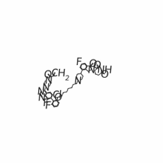 C=CC(=O)N1CCN(c2ncnc3c(F)c(-c4c(F)cccc4OCCCCCCCN4CCC(c5cc(F)cc6c5CN(C5CCC(=O)NC5=O)C6=O)CC4)c(Cl)cc23)CC1